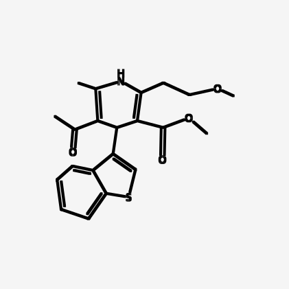 COCCC1=C(C(=O)OC)C(c2csc3ccccc23)C(C(C)=O)=C(C)N1